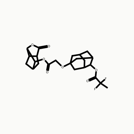 CC(F)(F)C(=O)OC1C2CC3CC1CC(OCC(=O)OC1C4CC5C(=O)OC1C5C4)(C3)C2